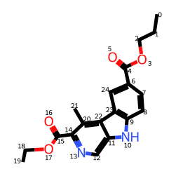 CCCOC(=O)c1ccc2[nH]c3cnc(C(=O)OCC)c(C)c3c2c1